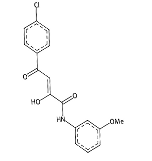 COc1cccc(NC(=O)/C(O)=C/C(=O)c2ccc(Cl)cc2)c1